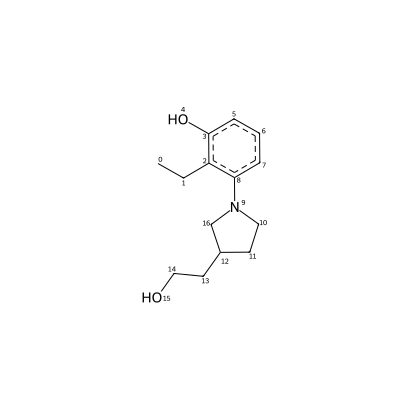 CCc1c(O)cccc1N1CCC(CCO)C1